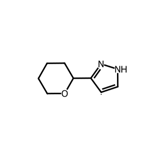 [c]1c[nH]nc1C1CCCCO1